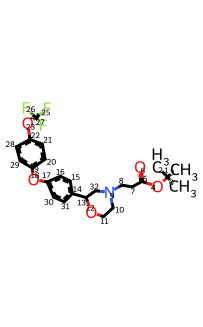 CC(C)(C)OC(=O)CCN1CCOC(c2ccc(Oc3ccc(OC(F)(F)F)cc3)cc2)C1